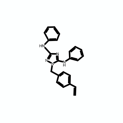 C=Cc1ccc(Cn2nc(Nc3ccccc3)nc2Nc2ccccc2)cc1